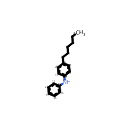 CCCCCCc1ccc(Nc2cc[c]cc2)cc1